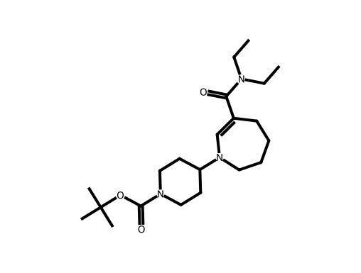 CCN(CC)C(=O)C1=CN(C2CCN(C(=O)OC(C)(C)C)CC2)CCCC1